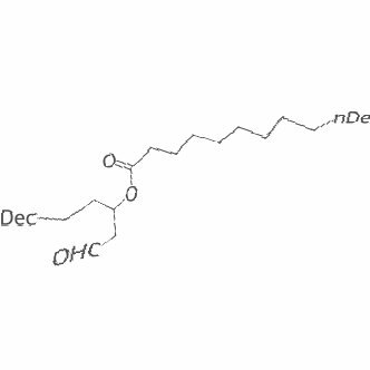 CCCCCCCCCCCCCCCCCCC(=O)OC(CC=O)CCCCCCCCCCCC